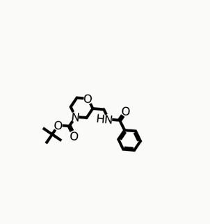 CC(C)(C)OC(=O)N1CCOC(CNC(=O)c2ccccc2)C1